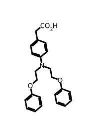 O=C(O)Cc1ccc(N(CCOc2ccccc2)CCOc2ccccc2)cc1